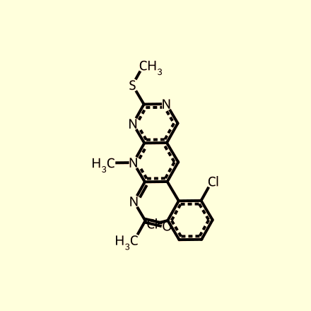 CSc1ncc2cc(-c3c(Cl)cccc3Cl)/c(=N\C(C)=O)n(C)c2n1